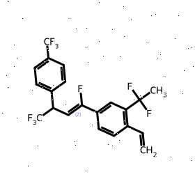 C=Cc1ccc(/C(F)=C/C(c2ccc(C(F)(F)F)cc2)C(F)(F)F)cc1C(C)(F)F